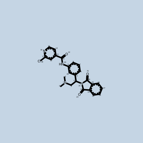 CN(C)CC(c1cccc(NC(=O)c2ccnc(Cl)c2)c1)N1C(=O)c2ccccc2C1=O